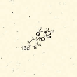 CCC(C)C1CCC(C(=O)OC(C)c2ccsc2)CC1